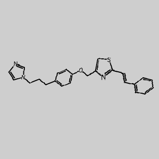 C(=Cc1nc(COc2ccc(CCCn3ccnc3)cc2)cs1)c1ccccc1